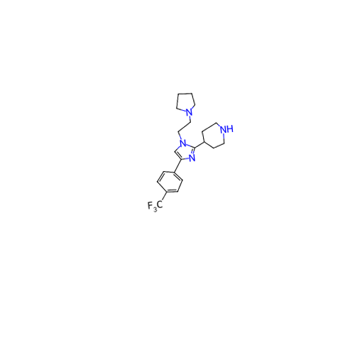 FC(F)(F)c1ccc(-c2cn(CCN3CCCC3)c(C3CCNCC3)n2)cc1